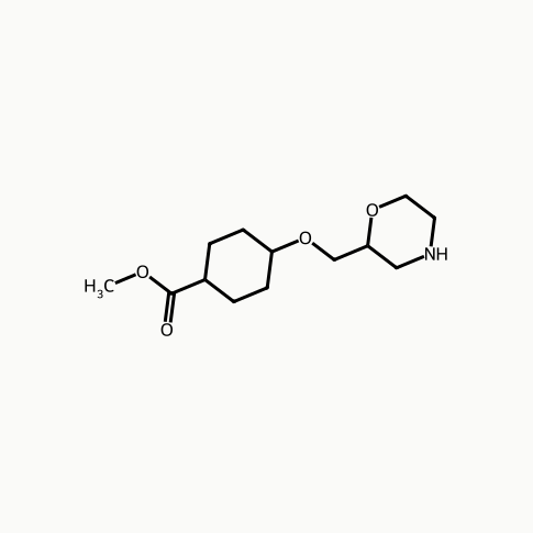 COC(=O)C1CCC(OCC2CNCCO2)CC1